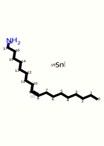 CCCCCCCC/C=C\CCCCCCCCN.[Sn]